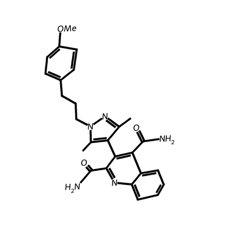 COc1ccc(CCCn2nc(C)c(-c3c(C(N)=O)nc4ccccc4c3C(N)=O)c2C)cc1